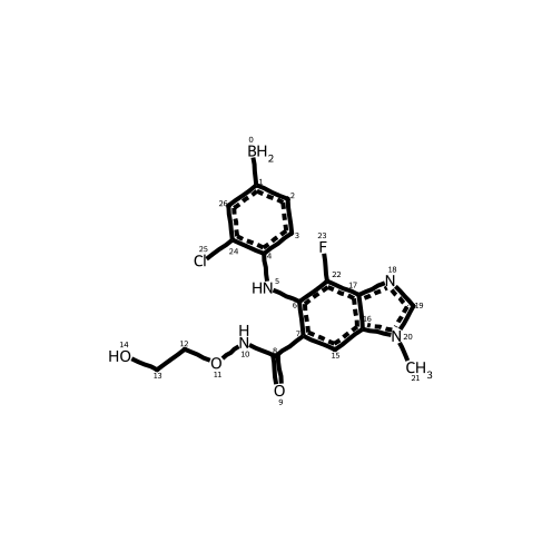 Bc1ccc(Nc2c(C(=O)NOCCO)cc3c(ncn3C)c2F)c(Cl)c1